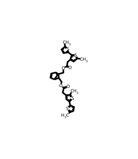 Cc1ccc(-c2cc(CC(=O)OCC3C4C=CC(C4)C3COC(=O)Cc3cc(C)sc3-c3ccc(C)s3)c(C)s2)s1